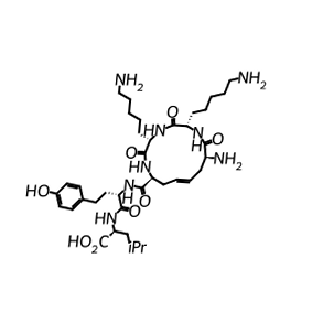 CC(C)C[C@H](NC(=O)[C@H](CCc1ccc(O)cc1)NC(=O)[C@@H]1C/C=C/C[C@H](N)C(=O)N[C@@H](CCCCCN)C(=O)N[C@@H](CCCCCN)C(=O)N1)C(=O)O